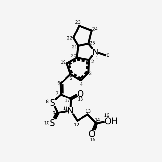 CN1c2ccc(/C=C3/SC(=S)N(CCC(=O)O)C3=O)cc2C2CCCC21